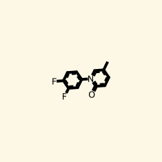 Cc1ccc(=O)n(-c2ccc(F)c(F)c2)c1